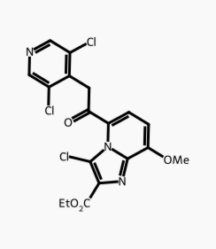 CCOC(=O)c1nc2c(OC)ccc(C(=O)Cc3c(Cl)cncc3Cl)n2c1Cl